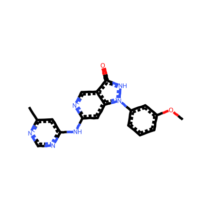 COc1cccc(-n2[nH]c(=O)c3cnc(Nc4cc(C)ncn4)cc32)c1